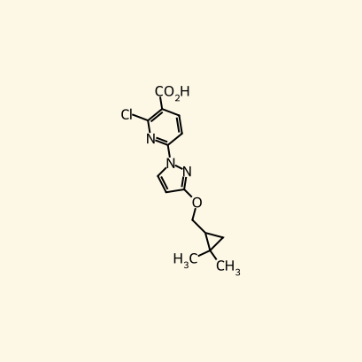 CC1(C)CC1COc1ccn(-c2ccc(C(=O)O)c(Cl)n2)n1